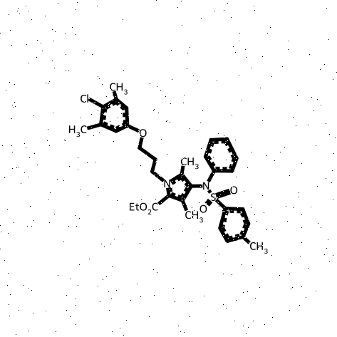 CCOC(=O)c1c(C)c(N(c2ccccc2)S(=O)(=O)c2ccc(C)cc2)c(C)n1CCCOc1cc(C)c(Cl)c(C)c1